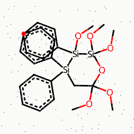 COC1(OC)C[Si](c2ccccc2)(c2ccccc2)[Si](OC)(c2ccccc2)[Si](OC)(OC)O1